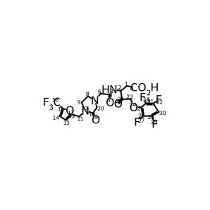 O=C(O)CC(NC(=O)CN1CCN(Cc2ccc(C(F)(F)F)o2)C(=O)C1)C(=O)COc1c(F)c(F)cc(F)c1F